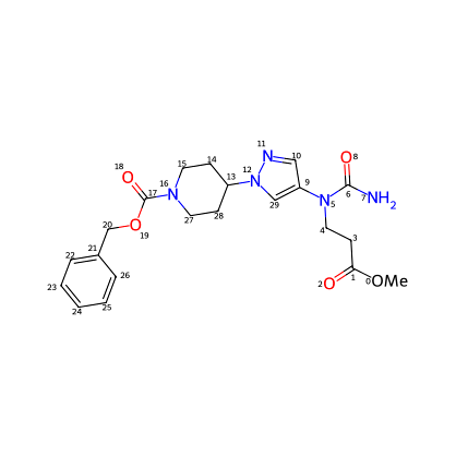 COC(=O)CCN(C(N)=O)c1cnn(C2CCN(C(=O)OCc3ccccc3)CC2)c1